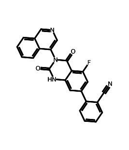 N#Cc1ccccc1-c1cc(F)c2c(=O)n(-c3cncc4ccccc34)c(=O)[nH]c2c1